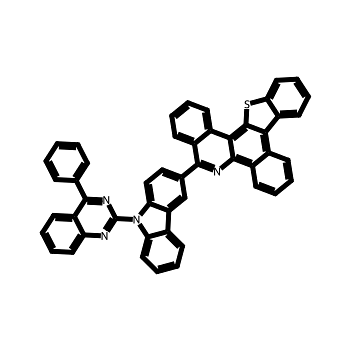 c1ccc(-c2nc(-n3c4ccccc4c4cc(-c5nc6c7ccccc7c7c8ccccc8sc7c6c6ccccc56)ccc43)nc3ccccc23)cc1